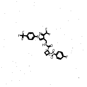 O=C(NCc1cn(-c2ccc(C(F)(F)F)cc2)nc1C(F)F)[C@@H]1CC[C@@H]1S(=O)(=O)c1ccc(F)cc1